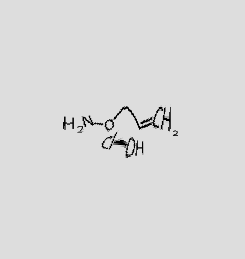 C=CCON.OCl